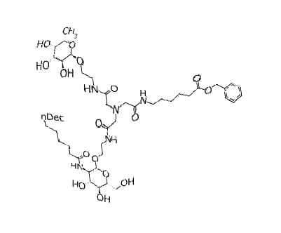 CCCCCCCCCCCCCCCC(=O)N[C@H]1C(OCCNC(=O)CN(CC(=O)NCCCCCC(=O)OCc2ccccc2)CC(=O)NCCO[C@@H]2O[C@@H](C)[C@@H](O)[C@@H](O)[C@@H]2O)O[C@H](CO)[C@@H](O)[C@@H]1O